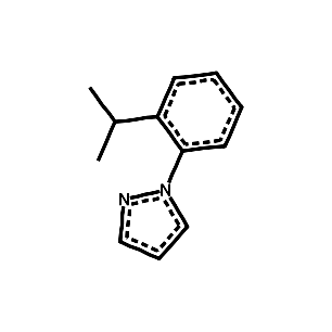 CC(C)c1ccccc1-n1cccn1